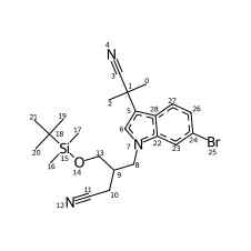 CC(C)(C#N)c1cn(CC(CC#N)CO[Si](C)(C)C(C)(C)C)c2cc(Br)ccc12